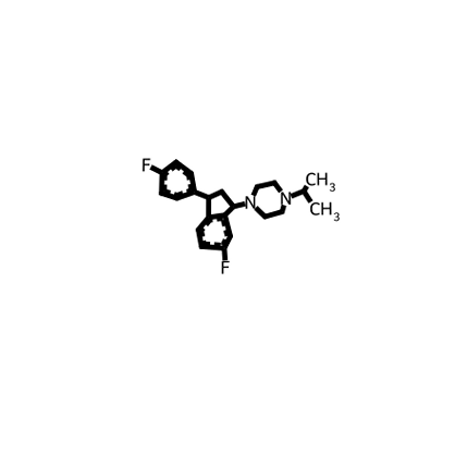 CC(C)N1CCN(C2CC(c3ccc(F)cc3)c3ccc(F)cc32)CC1